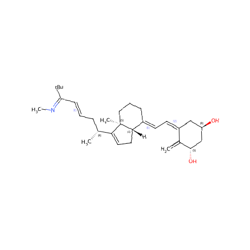 C=C1/C(=C\C=C2/CCC[C@]3(C)C([C@H](C)C/C=C/C(=NC)C(C)(C)C)=CC[C@@H]23)C[C@@H](O)C[C@@H]1O